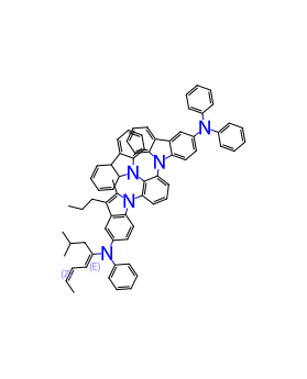 C/C=C\C=C(/CC(C)C)N(c1ccccc1)c1ccc2c(c1)c(CCC)c(C)n2-c1cccc(-n2c3ccccc3c3cc(N(c4ccccc4)c4ccccc4)ccc32)c1N1c2ccccc2C2C=CC=CC21